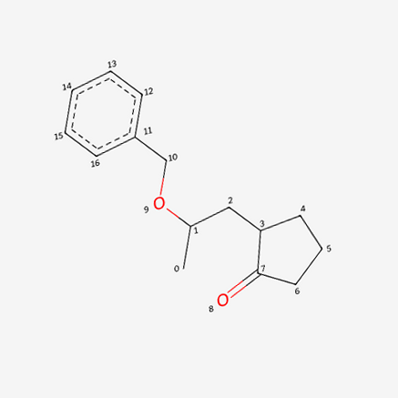 CC(CC1CCCC1=O)OCc1ccccc1